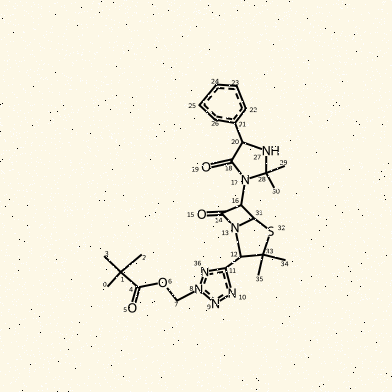 CC(C)(C)C(=O)OCn1nnc(C2N3C(=O)C(N4C(=O)C(c5ccccc5)NC4(C)C)C3SC2(C)C)n1